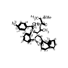 CN[C@@H](C)C(=O)NC(C)CN(C(=O)c1ccc(C(C)=O)cc1)c1ccccc1N(C=O)CCc1cccc2ccccc12